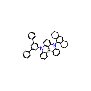 c1ccc(-c2cc(-c3ccccc3)cc(N3c4ccccc4B4c5ccccc5N(c5c6c(cc7c5CCCC7)CCCC6)c5cccc3c54)c2)cc1